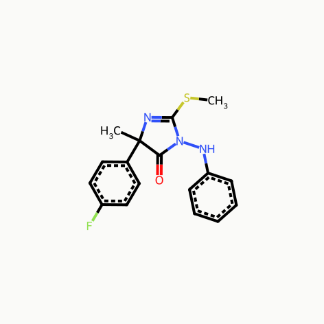 CSC1=NC(C)(c2ccc(F)cc2)C(=O)N1Nc1ccccc1